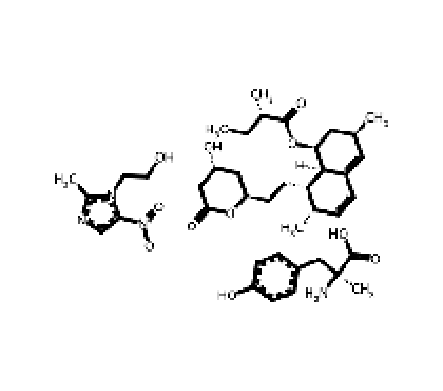 CC[C@H](C)C(=O)O[C@H]1C[C@@H](C)C=C2C=C[C@H](C)[C@H](CC[C@@H]3C[C@@H](O)CC(=O)O3)[C@H]21.C[C@](N)(Cc1ccc(O)cc1)C(=O)O.Cc1ncc([N+](=O)[O-])n1CCO